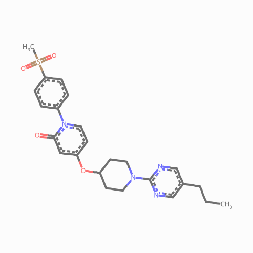 CCCc1cnc(N2CCC(Oc3ccn(-c4ccc(S(C)(=O)=O)cc4)c(=O)c3)CC2)nc1